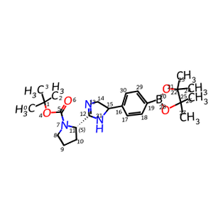 CC(C)(C)OC(=O)N1CCC[C@H]1C1=NCC(c2ccc(B3OC(C)(C)C(C)(C)O3)cc2)N1